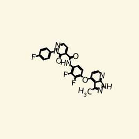 Cc1n[nH]c2nccc(Oc3ccc(NC(=O)c4ccnn(-c5ccc(F)cc5)c4=O)c(F)c3F)c12